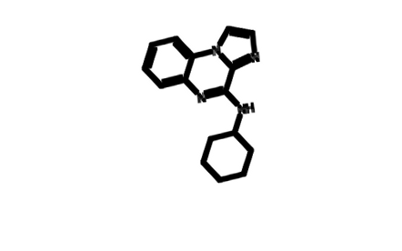 c1ccc2c(c1)nc(NC1CCCCC1)c1nccn12